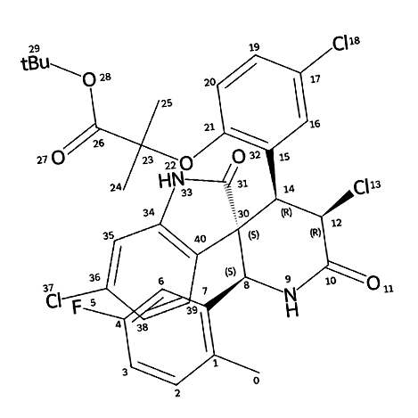 Cc1ccc(F)cc1[C@@H]1NC(=O)[C@H](Cl)[C@H](c2cc(Cl)ccc2OC(C)(C)C(=O)OC(C)(C)C)[C@@]12C(=O)Nc1cc(Cl)ccc12